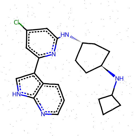 Clc1cc(N[C@H]2CC[C@H](NC3CCC3)CC2)nc(-c2c[nH]c3ncccc23)c1